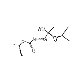 CC(C)OC(=O)/N=N/C(C)(O)OC(C)C